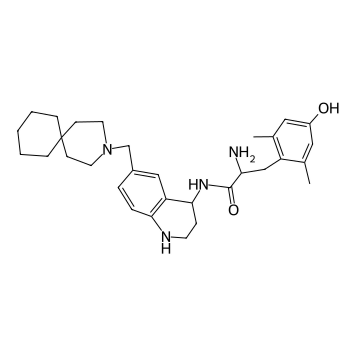 Cc1cc(O)cc(C)c1CC(N)C(=O)NC1CCNc2ccc(CN3CCC4(CCCCC4)CC3)cc21